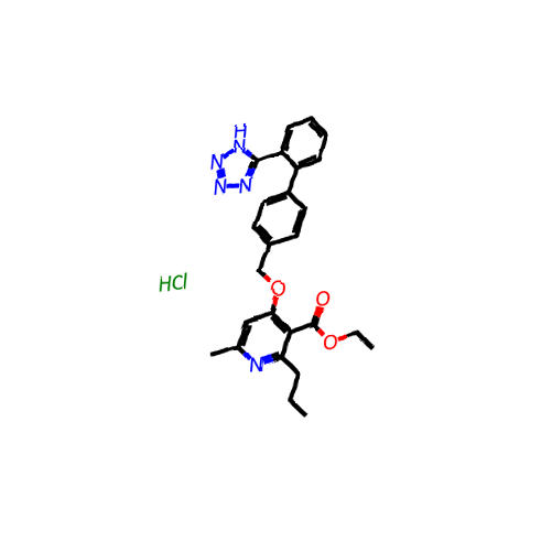 CCCc1nc(C)cc(OCc2ccc(-c3ccccc3-c3nnn[nH]3)cc2)c1C(=O)OCC.Cl